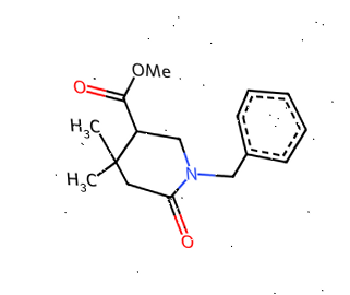 COC(=O)C1CN(Cc2ccccc2)C(=O)CC1(C)C